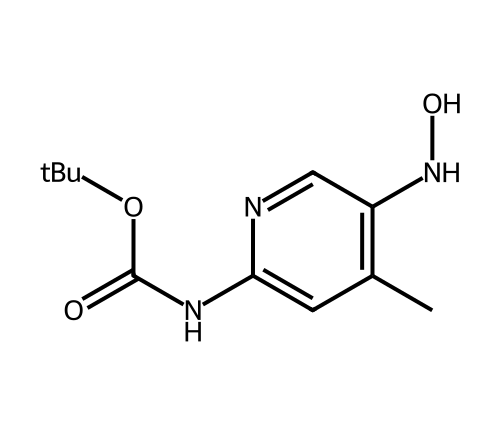 Cc1cc(NC(=O)OC(C)(C)C)ncc1NO